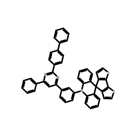 c1ccc(-c2ccc(-c3nc(-c4ccccc4)cc(-c4cccc(N5c6ccccc6C6(c7ccccc75)c5ccsc5-c5sccc56)c4)n3)cc2)cc1